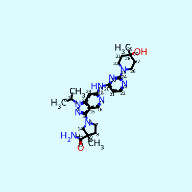 CC(C)n1nc(N2CCC(C)(C(N)=O)C2)c2cnc(Nc3ccnc(N4CCC(C)(O)CC4)n3)cc21